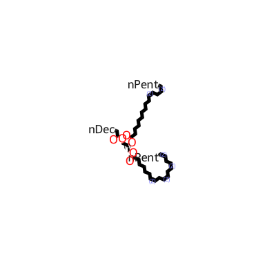 CCCCC/C=C\C/C=C\C/C=C\C/C=C\CCCCCC(=O)OC[C@@H](COC(=O)CCCCCCCCCCC)OC(=O)CCCCCCCCC/C=C\C/C=C\CCCCC